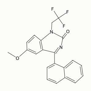 COc1ccc2c(c1)c(-c1cccc3ccccc13)nc(=O)n2CC(F)(F)F